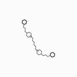 c1ccc(CCCC2CCN(CCCCCCN3CCC(CCCc4ccccc4)CC3)CC2)cc1